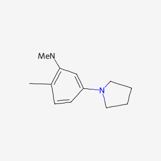 CNc1cc(N2CCCC2)ccc1C